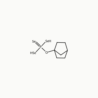 [Se]=P([SeH])([SeH])OC12CCC(CC1)C2